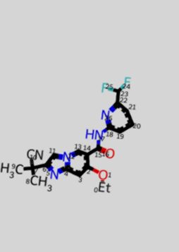 CCOc1cc2nc(C(C)(C)C#N)cn2cc1C(=O)Nc1cccc(C(F)F)n1